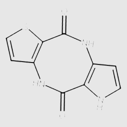 O=C1Nc2ccsc2C(=O)Nc2cc[nH]c21